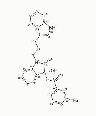 O=C(C[C@]1(O)C(=O)N(CCCc2c[nH]c3ccccc23)c2ccccc21)c1cccc(F)c1